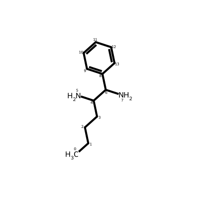 CCCCC(N)C(N)c1ccccc1